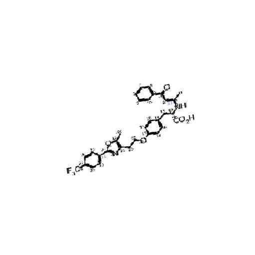 C/C(=C\C(=O)c1ccccc1)N[C@@H](Cc1ccc(OCCc2nc(-c3ccc(C(F)(F)F)cc3)oc2C)cc1)C(=O)O